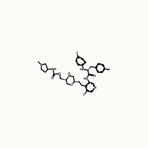 CN1CCC(NC(=O)OC[C@@H]2CO[C@H](CCc3c(F)cncc3NC(=O)[C@H](Cc3ccc(F)cc3)Nc3ccc(F)cc3)CN2)C1